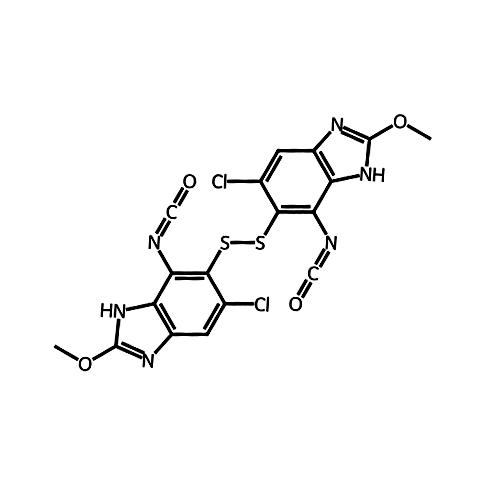 COc1nc2cc(Cl)c(SSc3c(Cl)cc4nc(OC)[nH]c4c3N=C=O)c(N=C=O)c2[nH]1